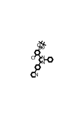 CC1(C)OB(c2ccc(Cl)c(-c3cc(-c4ccc(-c5ccccn5)cc4)nc(-c4ccccc4)n3)c2)OC1(C)C